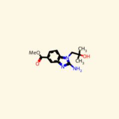 COC(=O)c1ccc2c(c1)nc(N)n2CC(C)(C)O